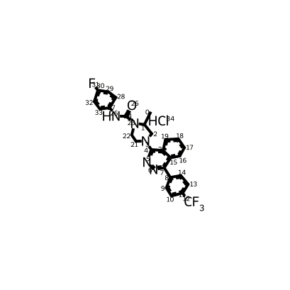 CC1CN(c2nnc(-c3ccc(C(F)(F)F)cc3)c3ccccc23)CCN1C(=O)Nc1ccc(F)cc1.Cl